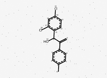 C=C(c1ccc(C)cc1)C(O)c1ccc(Cl)cc1Cl